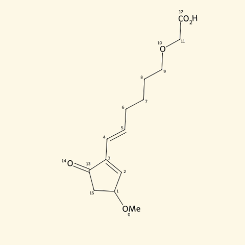 COC1C=C(C=CCCCCOCC(=O)O)C(=O)C1